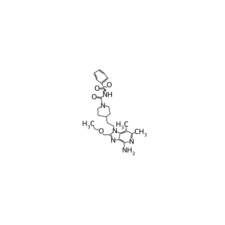 CCOCc1nc2c(N)nc(C)c(C)c2n1CCC1CCN(C(=O)NS(=O)(=O)c2ccccc2)CC1